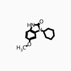 COc1ccc2[nH]c(=O)n(C3CCCCC3)c2c1